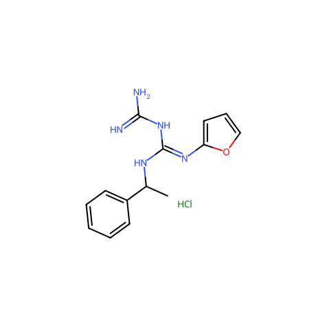 CC(NC(=Nc1ccco1)NC(=N)N)c1ccccc1.Cl